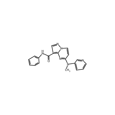 CN(c1cccnc1)c1ccn2ncc(C(=O)Nc3ccccc3)c2n1